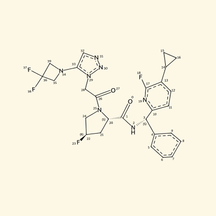 O=C(N[C@@H](c1ccccc1)c1ccc(C2CC2)c(F)n1)[C@@H]1C[C@@H](F)CN1C(=O)Cn1nncc1N1CC(F)(F)C1